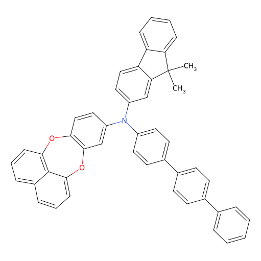 CC1(C)c2ccccc2-c2ccc(N(c3ccc(-c4ccc(-c5ccccc5)cc4)cc3)c3ccc4c(c3)Oc3cccc5cccc(c35)O4)cc21